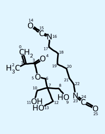 C=C(C)C(=O)OCC(CO)(CO)CO.O=C=NCCCCCCN=C=O